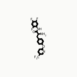 NC(Cc1ccc(Oc2ccc(C(F)(F)F)cn2)cc1)C(=O)Nc1cc(F)c(F)cc1F